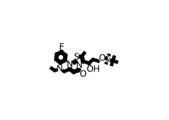 CCN(Cc1cc(=O)n2c(C(O)CCO[Si](C)(C)C(C)(C)C)c(C)sc2n1)c1ccc(F)cc1